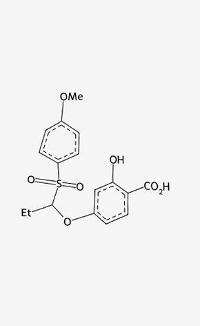 CCC(Oc1ccc(C(=O)O)c(O)c1)S(=O)(=O)c1ccc(OC)cc1